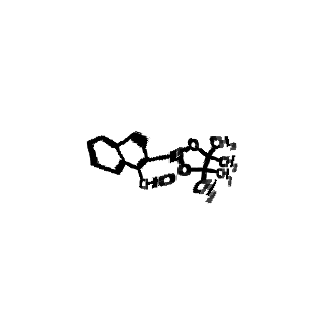 CC1(C)OB(c2ccc3ccccc3c2C=O)OC1(C)C